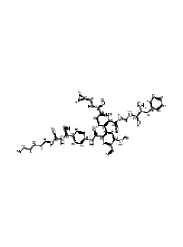 C=Cc1cc(C(=O)Nc2ccc(C(=N)NC(=O)OCCCCCC)cc2)c(-c2ccc(C(=O)NCC3CC3)nc2C(=O)OCOC(=O)[C@@H](N)Cc2ccccc2)cc1OC